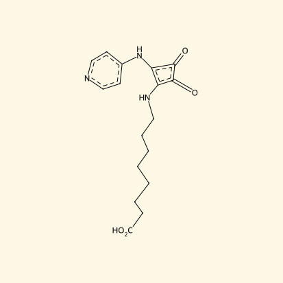 O=C(O)CCCCCCCNc1c(Nc2ccncc2)c(=O)c1=O